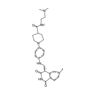 CN(C)CCNC(=O)C1CCN(c2ccc(N/C=C3\C(=O)NC(=O)c4ccc(I)cc43)cc2)CC1